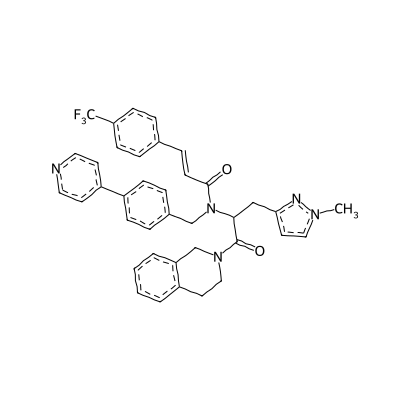 Cn1ccc(CC(C(=O)N2CCc3ccccc3C2)N(Cc2ccc(-c3ccncc3)cc2)C(=O)C=Cc2ccc(C(F)(F)F)cc2)n1